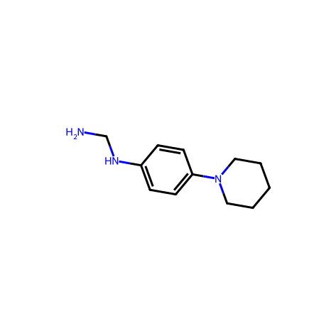 NCNc1ccc(N2CCCCC2)cc1